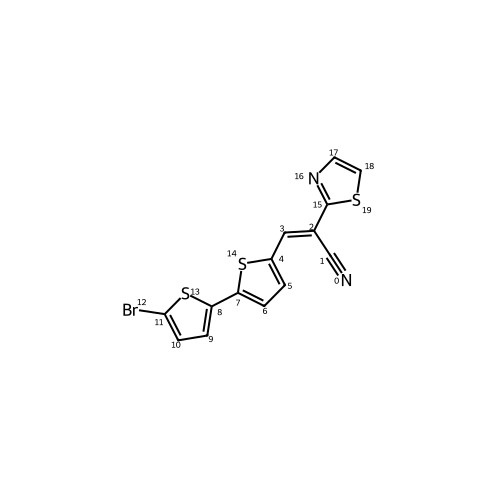 N#C/C(=C\c1ccc(-c2ccc(Br)s2)s1)c1nccs1